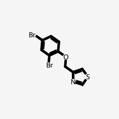 Brc1ccc(OCc2cs[c]n2)c(Br)c1